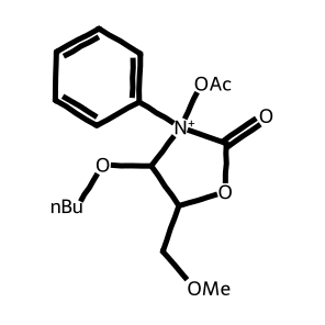 CCCCOC1C(COC)OC(=O)[N+]1(OC(C)=O)c1ccccc1